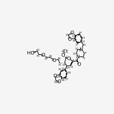 CCOC1OC(C(=O)N2CCN(Cc3ccc4c(c3)OCO4)CC2)=CC(c2ccc3c(c2)OCO3)[C@@H]1CCOCCOCCO